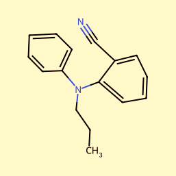 CCCN(c1ccccc1)c1ccccc1C#N